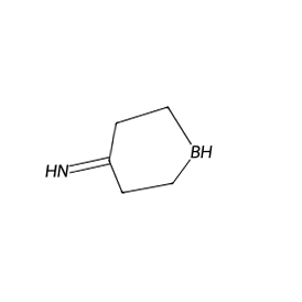 N=C1CCBCC1